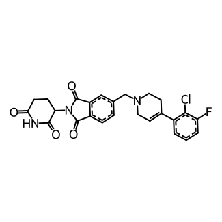 O=C1CCC(N2C(=O)c3ccc(CN4CC=C(c5cccc(F)c5Cl)CC4)cc3C2=O)C(=O)N1